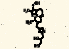 C[C@H]1C[C@@]2(CCN1Cc1cnn(C[C@H](O)CO)c1)OCCc1c2sc(C(F)(F)F)c1CO